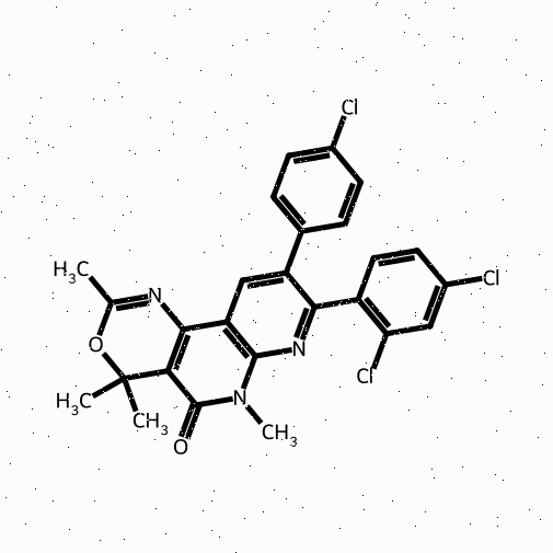 CC1=Nc2c(c(=O)n(C)c3nc(-c4ccc(Cl)cc4Cl)c(-c4ccc(Cl)cc4)cc23)C(C)(C)O1